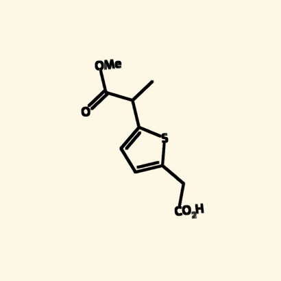 COC(=O)C(C)c1ccc(CC(=O)O)s1